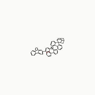 c1ccc(-c2ccccc2N(c2ccc(-c3ccc4c(c3)oc3ccccc34)cc2)c2cccc3c2-c2ccccc2C32C3CC4CC(C3)CC2C4)cc1